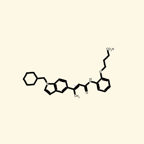 C/C(=C\C(=O)Nc1ccccc1OCCCC(=O)O)c1ccc2c(ccn2CC2CCCCC2)c1